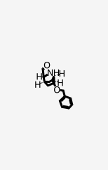 O=C[C@H]1N[C@H]2CC[C@@H]1C[C@@H]2OCc1ccccc1